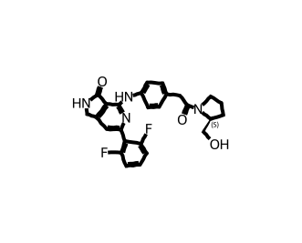 O=C1NCc2cc(-c3c(F)cccc3F)nc(Nc3ccc(CC(=O)N4CCC[C@H]4CO)cc3)c21